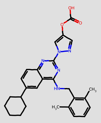 Cc1cccc(C)c1CNc1nc(-n2cc(OC(=O)O)cn2)nc2ccc(C3CCCCC3)cc12